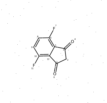 O=C1CC(=O)c2c(F)ccc(F)c21